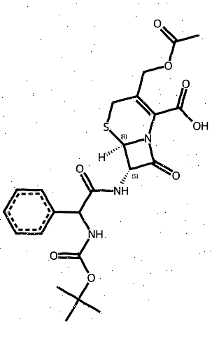 CC(=O)OCC1=C(C(=O)O)N2C(=O)[C@H](NC(=O)C(NC(=O)OC(C)(C)C)c3ccccc3)[C@H]2SC1